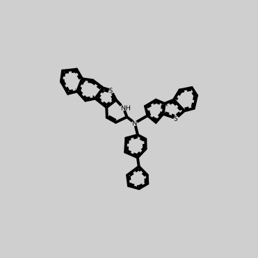 C1=CC(N(c2ccc(-c3ccccc3)cc2)c2ccc3c(c2)sc2ccccc23)Nc2sc3cc4ccccc4cc3c21